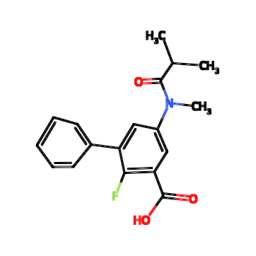 CC(C)C(=O)N(C)c1cc(C(=O)O)c(F)c(-c2ccccc2)c1